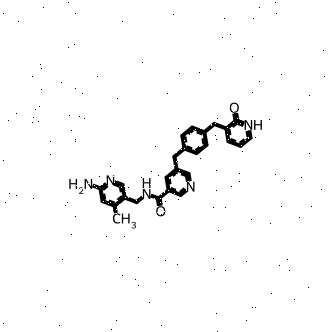 Cc1cc(N)ncc1CNC(=O)c1cncc(Cc2ccc(Cc3ccc[nH]c3=O)cc2)c1